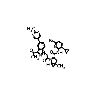 CC(=O)c1nn(CC(=O)N2[C@H](C(=O)Nc3nc(Br)ccc3C3CC3)CC3(C)C[C@@H]23)c2ccc(-c3cnc(C)nc3)cc12